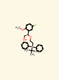 COc1ccc(F)cc1[C@H](CO)OCC[Si](c1ccccc1)(c1ccccc1)C(C)(C)C